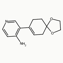 Nc1ccncc1C1=CCC2(CC1)OCCO2